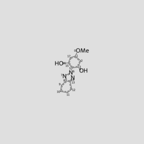 COc1cc(O)c(-n2nc3ccccc3n2)c(O)c1